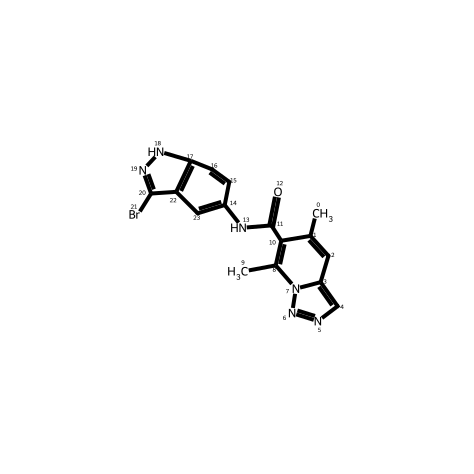 Cc1cc2cnnn2c(C)c1C(=O)Nc1ccc2[nH]nc(Br)c2c1